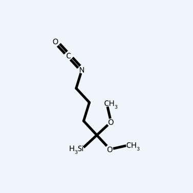 COC([SiH3])(CCCN=C=O)OC